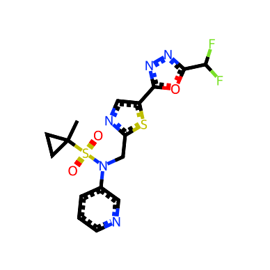 CC1(S(=O)(=O)N(Cc2ncc(-c3nnc(C(F)F)o3)s2)c2cccnc2)CC1